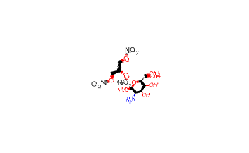 N[C@H]1C(O)O[C@H](CO)[C@@H](O)[C@@H]1O.O=[N+]([O-])OCC(CO[N+](=O)[O-])O[N+](=O)[O-]